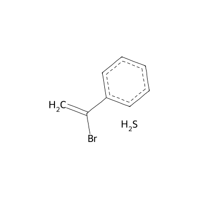 C=C(Br)c1ccccc1.S